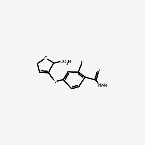 CNC(=O)c1ccc(NC2=CCOC2C(=O)O)cc1F